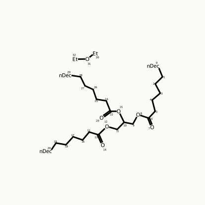 CCCCCCCCCCCCCCCC(=O)OCC(COC(=O)CCCCCCCCCCCCCCC)OC(=O)CCCCCCCCCCCCCCC.CCOCC